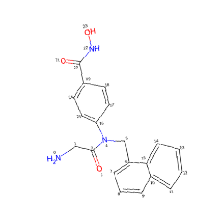 NCC(=O)N(Cc1cccc2ccccc12)c1ccc(C(=O)NO)cc1